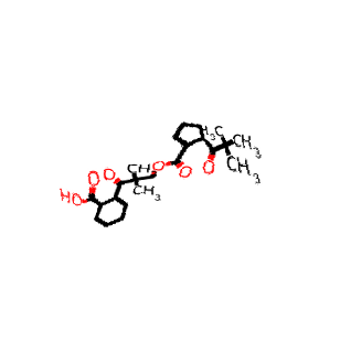 CC(C)(C)C(=O)C1CCCC1C(=O)OCC(C)(C)C(=O)C1CCCCC1C(=O)O